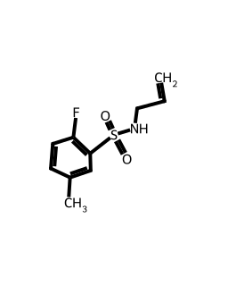 C=CCNS(=O)(=O)c1cc(C)ccc1F